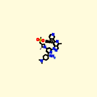 COc1ccncc1-c1cc2c(cnn2-c2cc(N3C[C@H](CS(C)(=O)=O)[C@H]3C)cc(C3(N)CCC(N(C)C)CC3)n2)c(C)n1